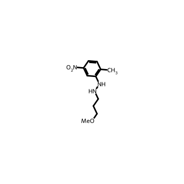 COCCCNNc1cc([N+](=O)[O-])ccc1C